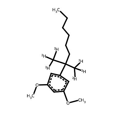 [2H]C([2H])([2H])C(CCCCCC)(c1cc(OC)cc(OC)c1)C([2H])([2H])[2H]